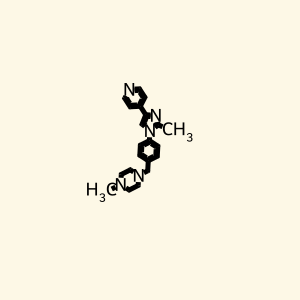 Cc1nc(-c2ccncc2)cn1-c1ccc(CN2CCN(C)CC2)cc1